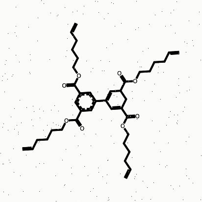 C=CCCCCOC(=O)C1=CC(c2cc(C(=O)OCCCCC=C)cc(C(=O)OCCCCC=C)c2)=CC(C(=O)OCCCCC=C)C1